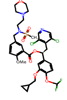 COc1ccc(CN(CCN2CCOCC2)S(C)(=O)=O)cc1C(=O)O[C@@H](Cc1c(Cl)cncc1Cl)c1ccc(OC(F)F)c(OCC2CC2)c1